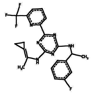 CC(Nc1nc(NC(C)c2cccc(F)c2)nc(-c2cccc(C(F)(F)F)n2)n1)=C1CC1